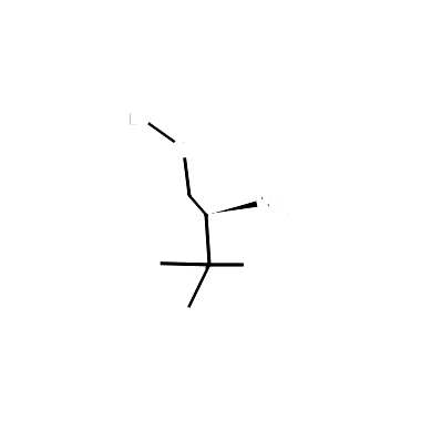 CCOC[C@@H](N)C(C)(C)C